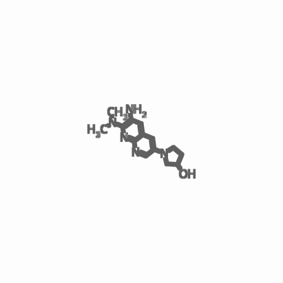 CN(C)c1nc2ncc(N3CCC(O)C3)cc2cc1N